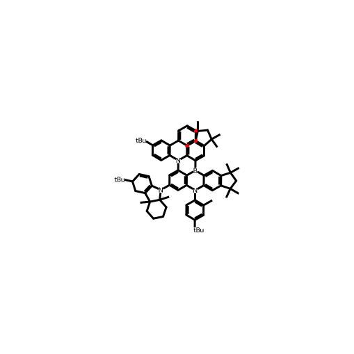 Cc1cc(C(C)(C)C)ccc1N1c2cc3c(cc2B2c4cc5c(cc4N(c4ccc(C(C)(C)C)cc4-c4ccccc4)c4cc(N6C7=C(CC(C(C)(C)C)C=C7)C7(C)CCCCC67C)cc1c42)C(C)(C)CC5(C)C)C(C)(C)CC3(C)C